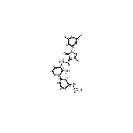 CC1=NN(c2cc(C)cc(C)c2)C(=O)C1=NNc1cccc(-c2cccc(OC(=O)O)c2)c1O